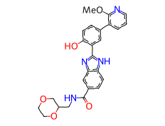 COc1ncccc1-c1ccc(O)c(-c2nc3cc(C(=O)NCC4COCCO4)ccc3[nH]2)c1